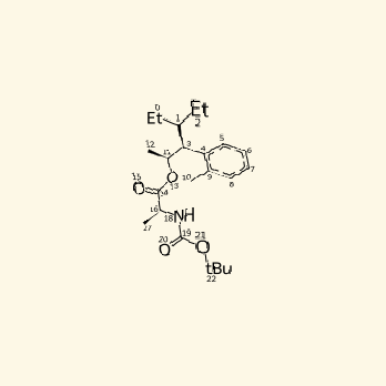 CCC(CC)[C@@H](c1ccccc1C)[C@H](C)OC(=O)[C@H](C)NC(=O)OC(C)(C)C